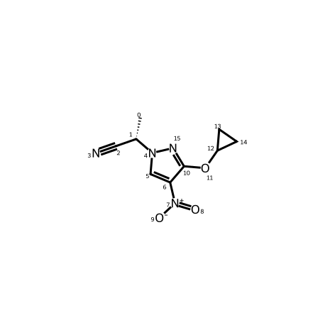 C[C@@H](C#N)n1cc([N+](=O)[O-])c(OC2CC2)n1